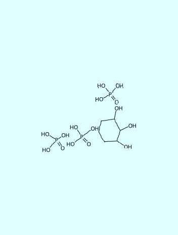 O=P(O)(O)O.O=P(O)(O)O.O=P(O)(O)O.OC1CCCC(O)C1O